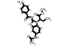 CCC(C(=O)OC)n1/c(=N/C(=O)c2ccc(C)cc2)sc2cc(NC(C)=O)ccc21